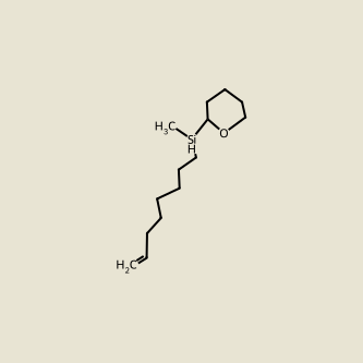 C=CCCCCCC[SiH](C)C1CCCCO1